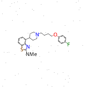 CNc1nc2c(C3CCN(CCCCOc4ccc(F)cc4)CC3)cccc2s1